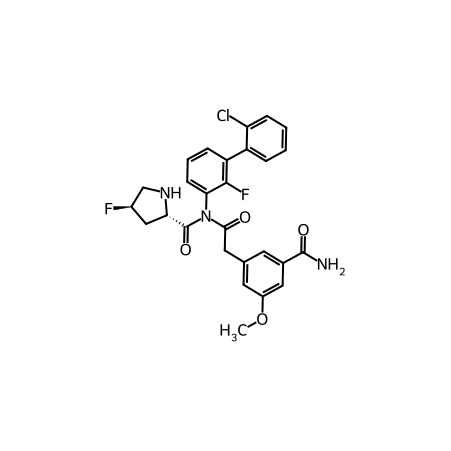 COc1cc(CC(=O)N(C(=O)[C@@H]2C[C@@H](F)CN2)c2cccc(-c3ccccc3Cl)c2F)cc(C(N)=O)c1